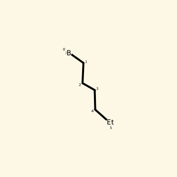 [B]CCCCCC